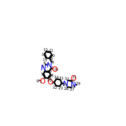 COc1cc2ncn(Cc3ccccc3)c(=O)c2cc1OC1CCC(N2CCN(C)C(=O)C2)CC1